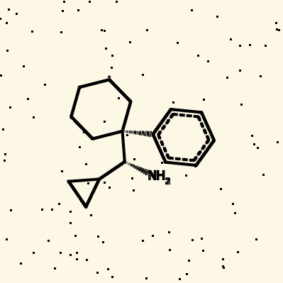 N[C@H](C1CC1)[C@]1(c2ccccc2)C[CH]CCC1